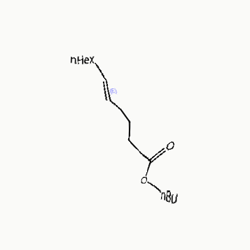 CCCCCC/C=C/CCC(=O)OCCCC